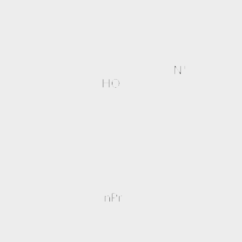 CCCc1ccccc1CC(O)C[N+](C)(C)C